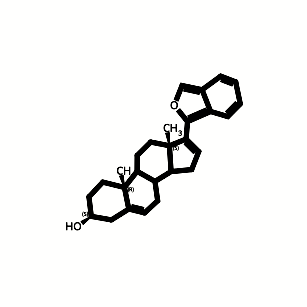 C[C@]12CC[C@H](O)CC1=CCC1C2CC[C@]2(C)C(c3occ4ccccc34)=CCC12